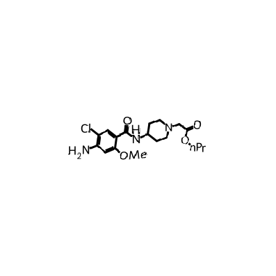 CCCOC(=O)CN1CCC(NC(=O)c2cc(Cl)c(N)cc2OC)CC1